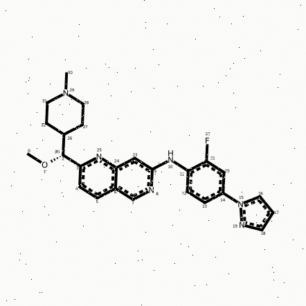 CO[C@@H](c1ccc2cnc(Nc3ccc(-n4cccn4)cc3F)cc2n1)C1CCN(C)CC1